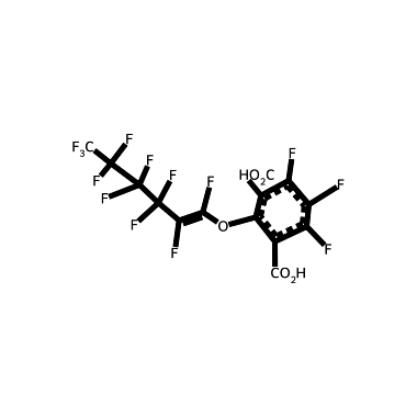 O=C(O)c1c(F)c(F)c(F)c(C(=O)O)c1OC(F)=C(F)C(F)(F)C(F)(F)C(F)(F)C(F)(F)F